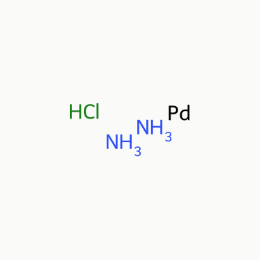 Cl.N.N.[Pd]